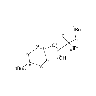 CC(C)C(C)(CC(C)(C)C)[C@H](O)OC1CCC(C(C)(C)C)CC1